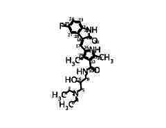 CCN(CC)CC(O)CNC(=O)c1c(C)[nH]c(C=C2C(=O)Nc3ccc(F)cc32)c1C